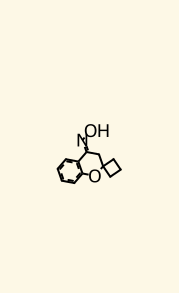 ON=C1CC2(CCC2)Oc2ccccc21